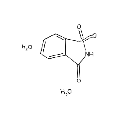 O.O.O=C1NS(=O)(=O)c2ccccc21